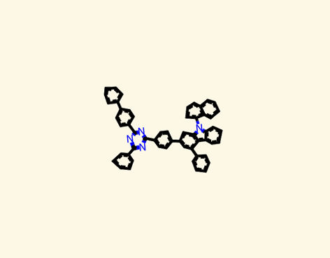 c1ccc(-c2ccc(-c3nc(-c4ccccc4)nc(-c4ccc(-c5cc(-c6ccccc6)c6c7ccccc7n(-c7cccc8ccccc78)c6c5)cc4)n3)cc2)cc1